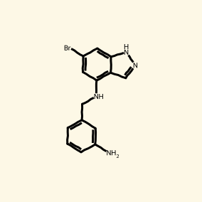 Nc1cccc(CNc2cc(Br)cc3[nH]ncc23)c1